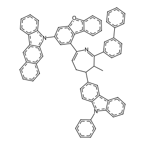 CC1C(c2cccc(-c3ccccc3)c2)=NC(c2cc(-n3c4ccccc4c4cc5ccccc5cc43)cc3oc4ccccc4c23)=CCC1c1ccc2c(c1)c1ccccc1n2-c1ccccc1